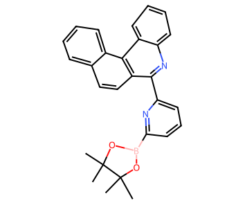 CC1(C)OB(c2cccc(-c3nc4ccccc4c4c3ccc3ccccc34)n2)OC1(C)C